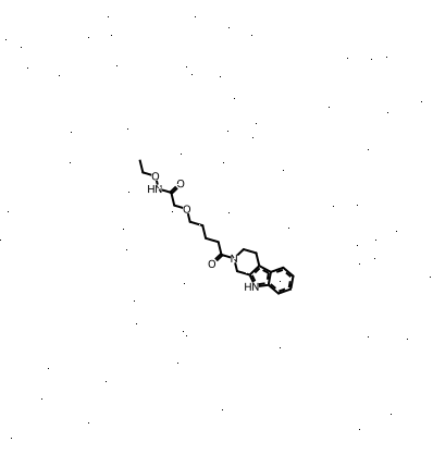 CCONC(=O)COCCCCC(=O)N1CCc2c([nH]c3ccccc23)C1